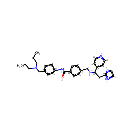 CCCN(CCC)Cc1ccc(NC(=O)c2ccc(CNC(Cc3ncc[nH]3)c3ccncc3)cc2)cc1